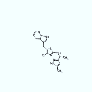 Cc1cc(C(C)Nc2nc(Cl)c(Cc3c[nH]c4ncccc34)s2)n[nH]1